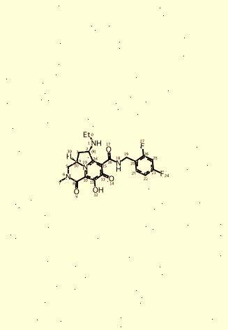 CCN[C@@H]1C[C@H]2CN(C)C(=O)c3c(O)c(=O)c(C(=O)NCc4ccc(F)cc4F)c1n32